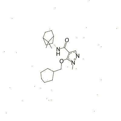 Cn1ncc(C(=O)N[C@@H]2CC3CCC2C3(C)C)c1OCC1CCCCC1